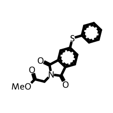 COC(=O)CN1C(=O)c2ccc(Sc3ccccc3)cc2C1=O